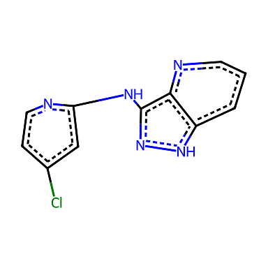 Clc1ccnc(Nc2n[nH]c3cccnc23)c1